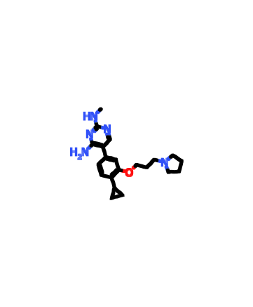 CNc1ncc(-c2ccc(C3CC3)c(OCCCN3CCCC3)c2)c(N)n1